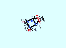 COC(=O)CCC1=C(C)c2cc3[nH]c(cc4nc(cc5[nH]c(cc1n2)c(CCC(=O)OC)c5C)C(C(C)O)=C4C)c(C(C)O)c3C